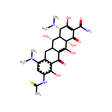 CC(=S)Nc1cc(N(C)C)c2c(c1O)C(=O)C1=C(O)[C@]3(O)C(=O)C(C(N)=O)=C(O)[C@@H](N(C)C)C3[C@@H](O)C1C2